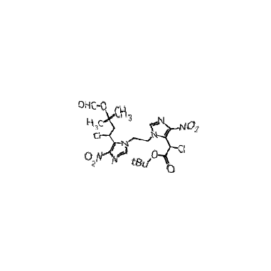 CC(C)(C)OC(=O)C(Cl)c1c([N+](=O)[O-])ncn1CCn1cnc([N+](=O)[O-])c1C(Cl)CC(C)(C)OC=O